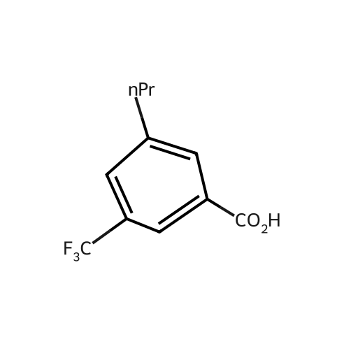 CCCc1cc(C(=O)O)cc(C(F)(F)F)c1